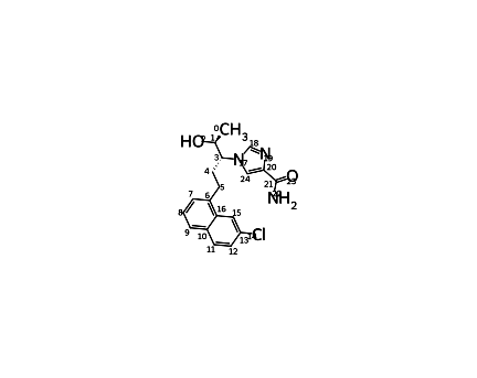 C[C@H](O)[C@@H](CCc1cccc2ccc(Cl)cc12)n1cnc(C(N)=O)c1